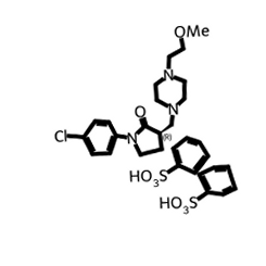 COCCN1CCN(C[C@H]2CCN(c3ccc(Cl)cc3)C2=O)CC1.O=S(=O)(O)c1ccccc1.O=S(=O)(O)c1ccccc1